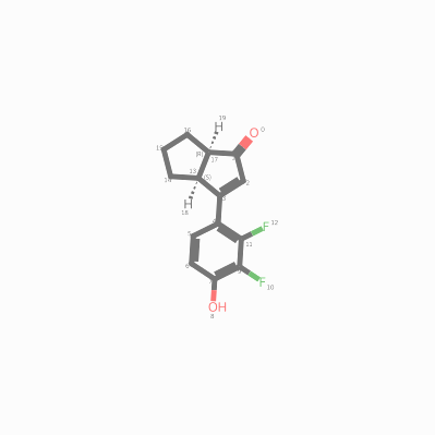 O=C1C=C(c2ccc(O)c(F)c2F)[C@H]2CCC[C@@H]12